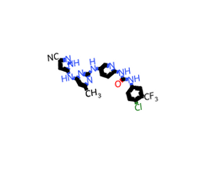 Cc1cc(Nc2cc(C#N)n[nH]2)nc(Nc2ccc(NC(=O)Nc3ccc(Cl)c(C(F)(F)F)c3)nc2)n1